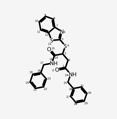 O=C(CC(Sc1nc2ccccc2s1)C(=O)NCc1ccccc1)NCc1ccccc1